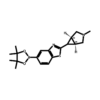 CN1C[C@@H]2C(c3nc4cc(B5OC(C)(C)C(C)(C)O5)ccc4s3)[C@@H]2C1